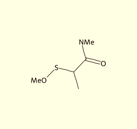 CNC(=O)C(C)SOC